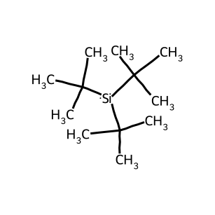 CC(C)(C)[Si](C(C)(C)C)C(C)(C)C